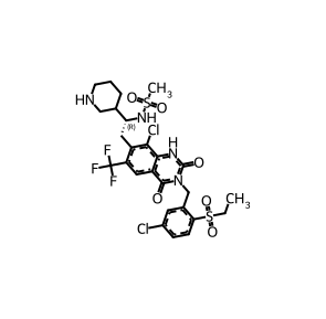 CCS(=O)(=O)c1ccc(Cl)cc1Cn1c(=O)[nH]c2c(Cl)c(C[C@@H](NS(C)(=O)=O)C3CCCNC3)c(C(F)(F)F)cc2c1=O